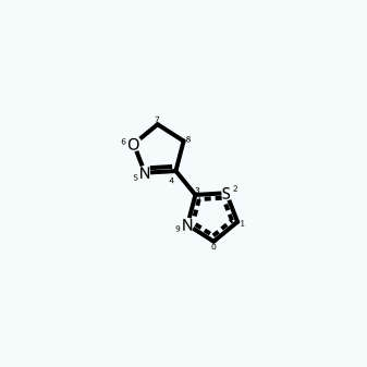 c1csc(C2=NOCC2)n1